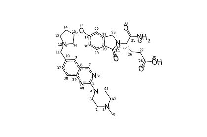 CN1CCN(c2ncc3cc(CN4CC[C@H](Oc5ccc6c(c5)CN([C@@H](CCC(=O)O)C(N)=O)C6=O)C4)ccc3n2)CC1